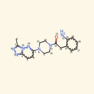 Cc1nnc2ccc(N3CCN(C(=O)Cc4ccccc4N)CC3)nn12